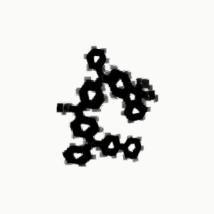 CC(c1ccc(N(c2ccccc2)c2ccc(C3CCCCC3)cc2)cc1)c1ccc(N(c2ccccc2)c2ccc3c(c2)-c2ccccc2C3(C)C)cc1